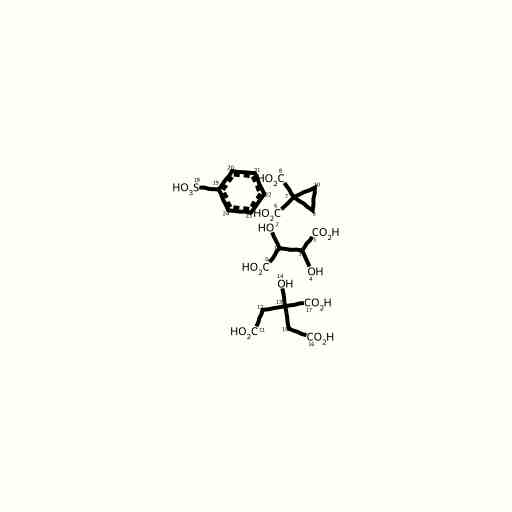 O=C(O)C(O)C(O)C(=O)O.O=C(O)C1(C(=O)O)CC1.O=C(O)CC(O)(CC(=O)O)C(=O)O.O=S(=O)(O)c1ccccc1